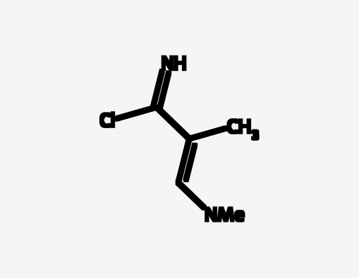 CN/C=C(\C)C(=N)Cl